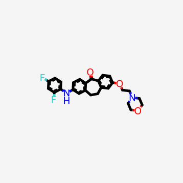 O=C1c2ccc(Nc3ccc(F)cc3F)cc2CCc2cc(OCCN3CCOCC3)ccc21